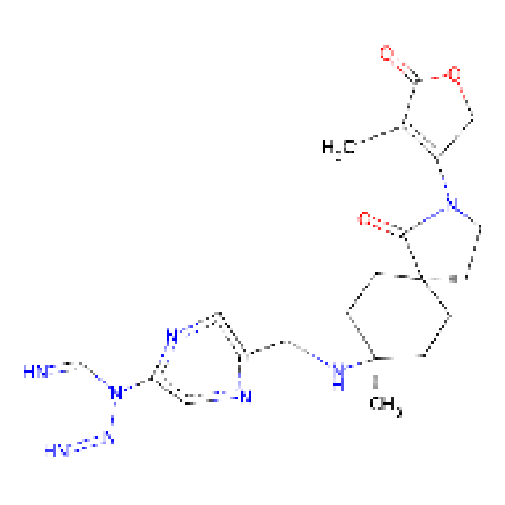 CC1=C(N2CC[C@]3(CC[C@](C)(NCc4cnc(N(C=N)N=N)cn4)CC3)C2=O)COC1=O